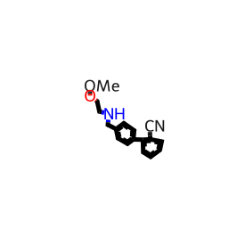 COOCCNCc1ccc(-c2ccccc2C#N)cc1